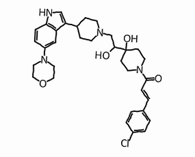 O=C(/C=C/c1ccc(Cl)cc1)N1CCC(O)(C(O)CN2CCC(c3c[nH]c4ccc(N5CCOCC5)cc34)CC2)CC1